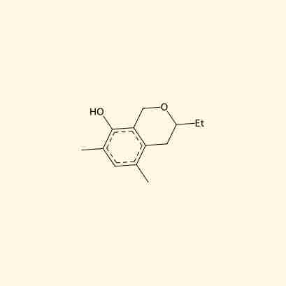 CCC1Cc2c(C)cc(C)c(O)c2CO1